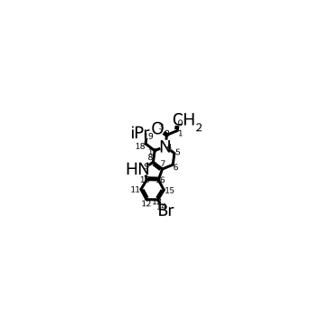 C=CC(=O)N1CCc2c([nH]c3ccc(Br)cc23)C1CC(C)C